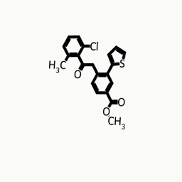 COC(=O)c1ccc(CC(=O)c2c(C)cccc2Cl)c(-c2cccs2)c1